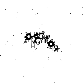 NC(=O)c1c(-c2cccc(F)c2)nn2c1CN(C(=O)Nc1ccc(OC(F)F)cc1)CC2